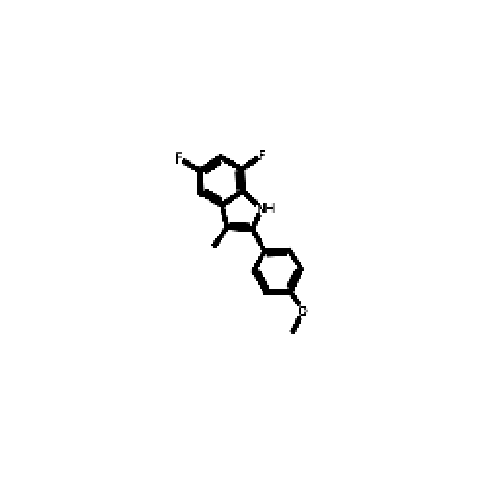 COc1ccc(-c2[nH]c3c(F)cc(F)cc3c2C)cc1